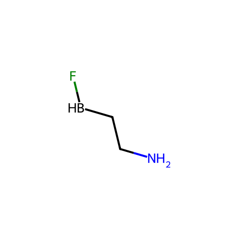 NCCBF